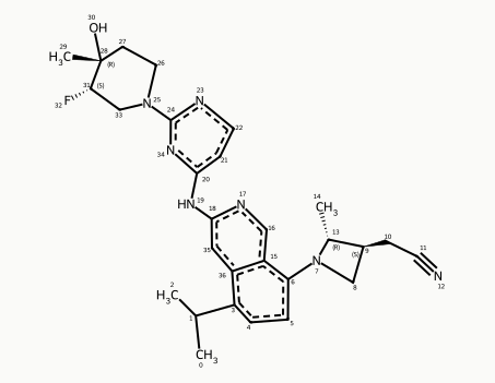 CC(C)c1ccc(N2C[C@H](CC#N)[C@H]2C)c2cnc(Nc3ccnc(N4CC[C@@](C)(O)[C@@H](F)C4)n3)cc12